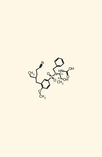 CCC(CCC#N)Cc1cc(S(=O)(=O)N(Cc2ccccc2)[C@H](NC(=O)O)[C@@H](C)O)ccc1OC